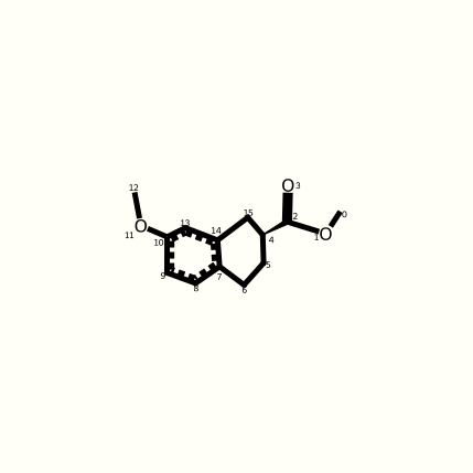 COC(=O)[C@H]1CCc2ccc(OC)cc2C1